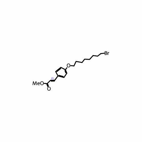 COC(=O)/C=C/c1ccc(OCCCCCCCCBr)cc1